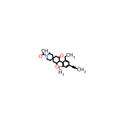 CC#Cc1cc(C)c(C2C(=O)CC3(CCN(C(C)=O)CC3)CC2=O)c(CC)c1